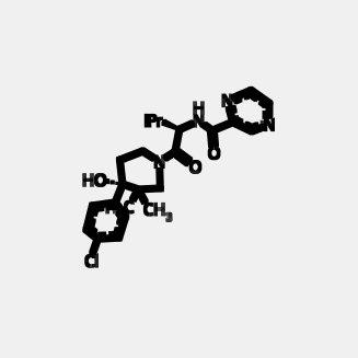 CC(C)[C@@H](NC(=O)c1cnccn1)C(=O)N1CC[C@](O)(c2ccc(Cl)cc2)C(C)(C)C1